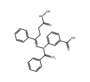 C=C(c1ccccc1)N(/N=C(\CCC(=O)NO)c1ccccc1)c1cccc(C(=O)O)c1